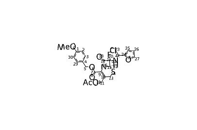 COc1ccc(COC(=O)C2=C(COC(C)=O)CS[C@H]3N2C(=O)[C@@]3(F)N=C(Cl)c2ccco2)cc1